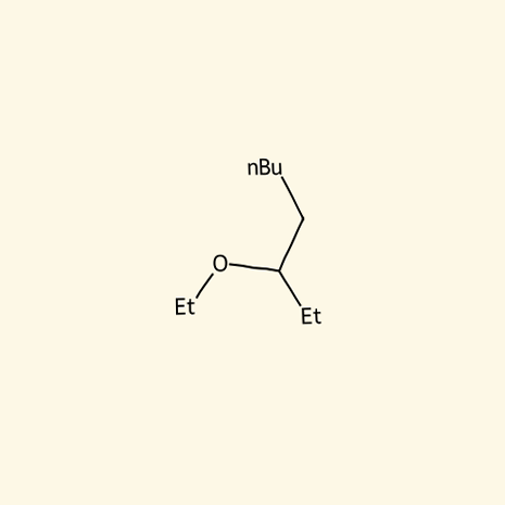 CCCCCC(CC)OCC